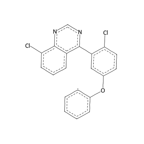 Clc1ccc(Oc2[c]cccc2)cc1-c1ncnc2c(Cl)cccc12